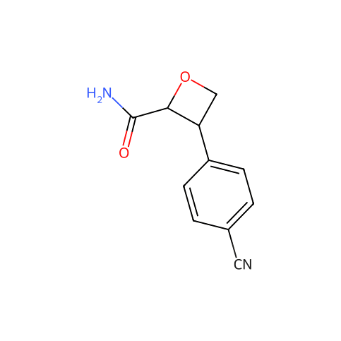 N#Cc1ccc(C2COC2C(N)=O)cc1